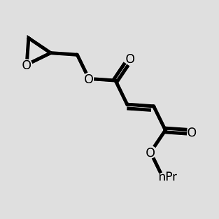 CCCOC(=O)C=CC(=O)OCC1CO1